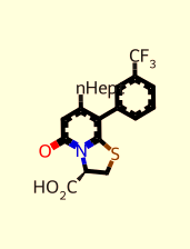 CCCCCCCc1cc(=O)n2c(c1-c1cccc(C(F)(F)F)c1)SC[C@H]2C(=O)O